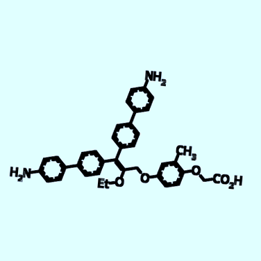 CCOC(COc1ccc(OCC(=O)O)c(C)c1)=C(c1ccc(-c2ccc(N)cc2)cc1)c1ccc(-c2ccc(N)cc2)cc1